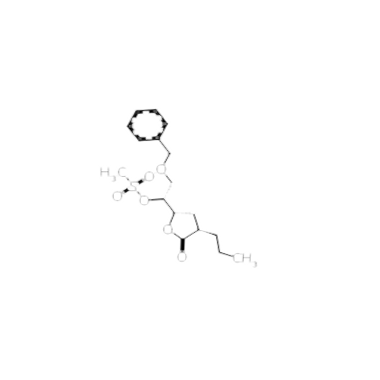 CCC[C@@H]1C[C@@H]([C@@H](COCc2ccccc2)OS(C)(=O)=O)OC1=O